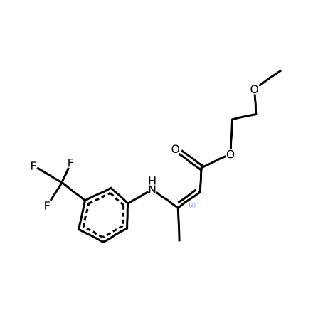 COCCOC(=O)/C=C(/C)Nc1cccc(C(F)(F)F)c1